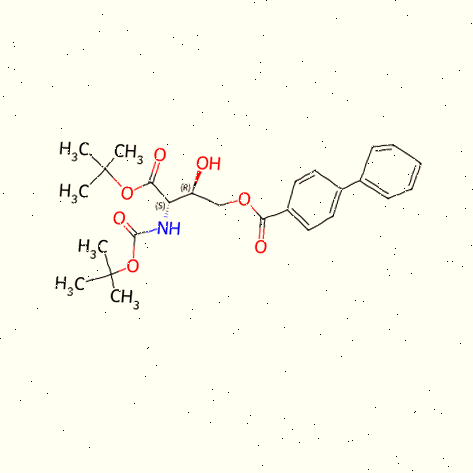 CC(C)(C)OC(=O)N[C@H](C(=O)OC(C)(C)C)[C@@H](O)COC(=O)c1ccc(-c2ccccc2)cc1